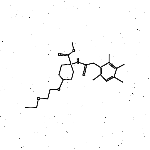 CCOCCOC1CCC(NC(=O)Cc2c(C)cc(C)c(C)c2C)(C(=O)OC)CC1